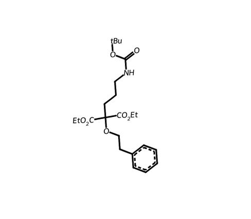 CCOC(=O)C(CCCNC(=O)OC(C)(C)C)(OCCc1ccccc1)C(=O)OCC